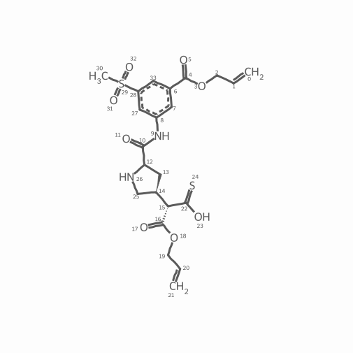 C=CCOC(=O)c1cc(NC(=O)C2C[C@@H]([C@@H](C(=O)OCC=C)C(O)=S)CN2)cc(S(C)(=O)=O)c1